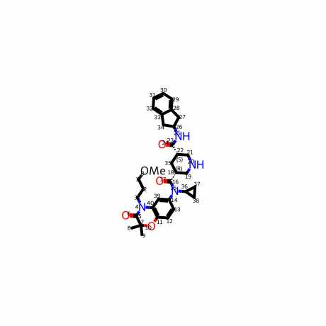 COCCCN1C(=O)C(C)(C)Oc2ccc(N(C(=O)[C@H]3CNC[C@@H](C(=O)NC4Cc5ccccc5C4)C3)C3CC3)cc21